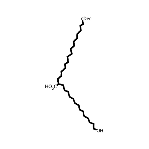 CCCCCCCCCCCCCCCCCCCCCCCCCCC(CCCCCCCCCCCCCCO)C(=O)O